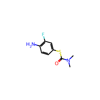 CN(C)C(=O)Sc1ccc(N)c(F)c1